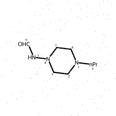 CCCN1CCN(NC=O)CC1